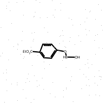 CCOC(=O)c1ccc(OBO)cc1